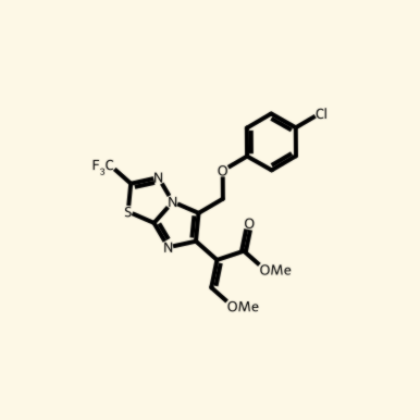 COC=C(C(=O)OC)c1nc2sc(C(F)(F)F)nn2c1COc1ccc(Cl)cc1